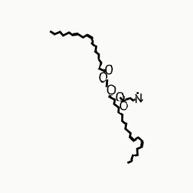 CCCCCC=CC/C=C\CCCCCCCC(=O)OCCOCC(CCCCCCCC/C=C\C/C=C\CCCCC)OC(=O)CCN(C)C